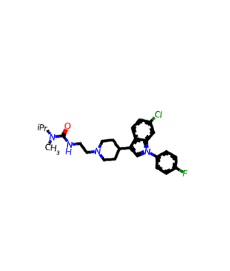 CC(C)N(C)C(=O)NCCN1CCC(c2cn(-c3ccc(F)cc3)c3cc(Cl)ccc23)CC1